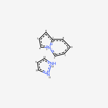 c1ccn2cccc2c1.c1cn[nH]c1